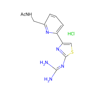 CC(=O)NCc1cccc(-c2csc(N=C(N)N)n2)n1.Cl